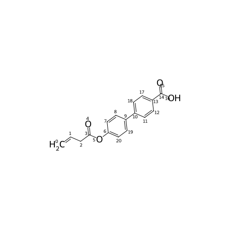 C=CCC(=O)Oc1ccc(-c2ccc(C(=O)O)cc2)cc1